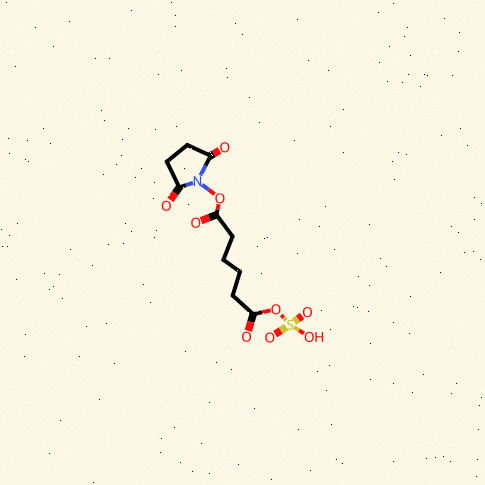 O=C(CCCCC(=O)OS(=O)(=O)O)ON1C(=O)CCC1=O